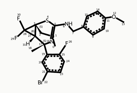 COC[C@@]12SC(NCc3ccc(OC)cc3)=N[C@](C)(c3cc(Br)ccc3F)[C@@H]1C2(F)F